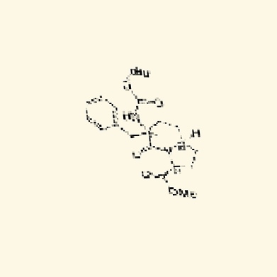 COC(=O)[C@@H]1CC[C@@H]2CC[C@@](Cc3ccccc3)(NC(=O)OC(C)(C)C)C(=O)N21